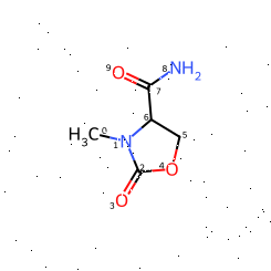 CN1C(=O)OCC1C(N)=O